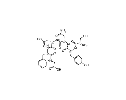 NC(=O)C[C@H](NC(=O)[C@H](Cc1ccc(O)cc1)NC(=O)[C@@H](N)CO)C(=O)N[C@@H](CC(=O)O)C(=O)N[C@@H](Cc1ccccc1)C(=O)NCC(=O)O